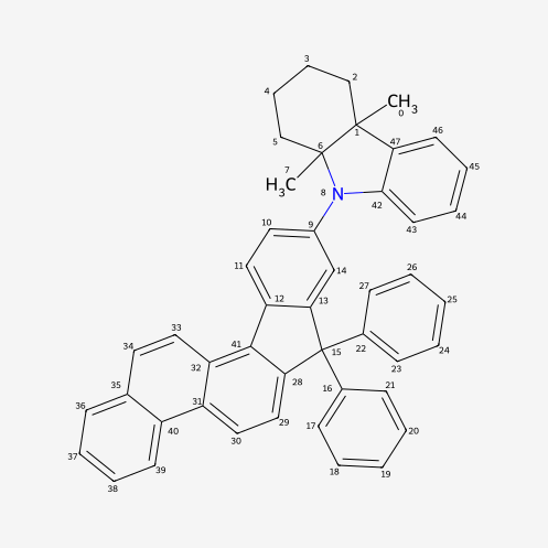 CC12CCCCC1(C)N(c1ccc3c(c1)C(c1ccccc1)(c1ccccc1)c1ccc4c(ccc5ccccc54)c1-3)c1ccccc12